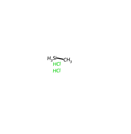 C[SiH3].Cl.Cl